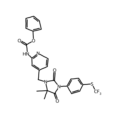 CC1(C)C(=O)N(c2ccc(SC(F)(F)F)cc2)C(=O)N1Cc1ccnc(NC(=O)Oc2ccccc2)c1